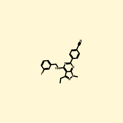 CCc1nn(C)c2nc(-c3ccc(C#N)cc3)nc(NCc3cccc(F)c3)c12